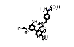 CC(C)C[S+]([O-])c1cc(N)cc(-c2cnc(NC(C)C)c(=O)n2CC(=O)NCc2ccc(/C(N)=N/C(=O)O)cc2)c1